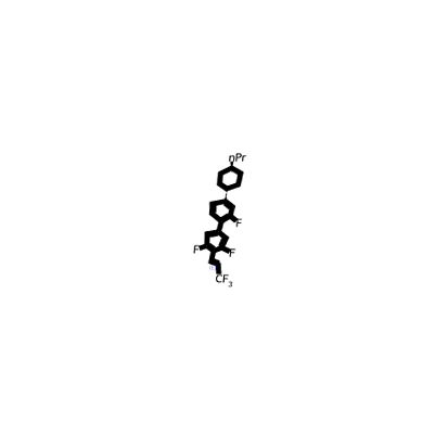 CCC[C@H]1CC[C@H](c2ccc(-c3cc(F)c(/C=C/C(F)(F)F)c(F)c3)c(F)c2)CC1